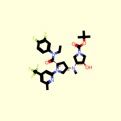 CCN(C(=O)[C@@H]1C[C@H](N(C)[C@@H]2CN(C(=O)OC(C)(C)C)C[C@H]2O)CN1c1cc(C(F)(F)F)cc(C)n1)c1ccc(F)c(F)c1